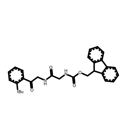 CC(C)(C)c1ccc[c]c1C(=O)CNC(=O)CNC(=O)OCC1c2ccccc2-c2ccccc21